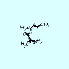 CCC[C@@H](C)OC(=O)C(C)N